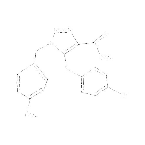 COC(=O)c1nnn(Cc2ccc(OC)cc2)c1Sc1ccc(Br)cc1